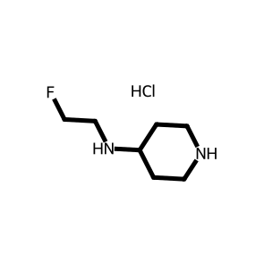 Cl.FCCNC1CCNCC1